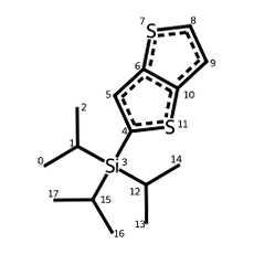 CC(C)[Si](c1cc2sccc2s1)(C(C)C)C(C)C